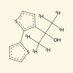 [2H]C([2H])([2H])C(O)(c1ccsc1-c1cccs1)C([2H])([2H])[2H]